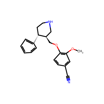 COc1cc(C#N)ccc1OC[C@@H]1CNCC[C@H]1c1ccccc1